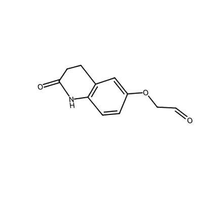 O=CCOc1ccc2c(c1)CCC(=O)N2